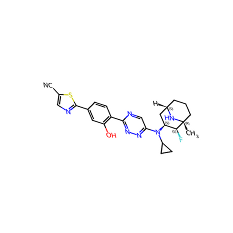 C[C@@]12CCC[C@@H](C[C@H](N(c3cnc(-c4ccc(-c5ncc(C#N)s5)cc4O)nn3)C3CC3)[C@@H]1F)N2